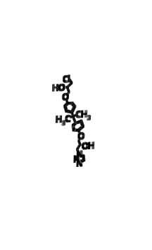 CC(C)(c1ccc(OC[C@@H](O)CCl)cc1)c1ccc(OC[C@H](O)Cn2ccnn2)cc1